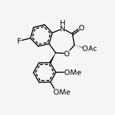 COc1cccc([C@@H]2O[C@@H](OC(C)=O)C(=O)Nc3ccc(F)cc32)c1OC